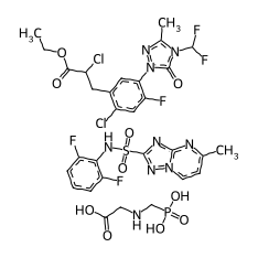 CCOC(=O)C(Cl)Cc1cc(-n2nc(C)n(C(F)F)c2=O)c(F)cc1Cl.Cc1ccn2nc(S(=O)(=O)Nc3c(F)cccc3F)nc2n1.O=C(O)CNCP(=O)(O)O